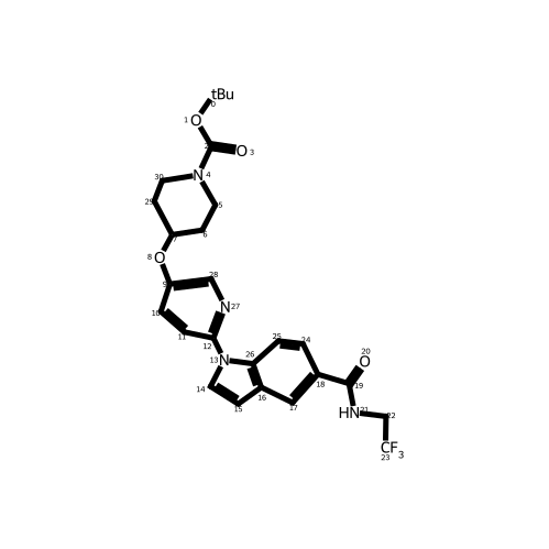 CC(C)(C)OC(=O)N1CCC(Oc2ccc(-n3ccc4cc(C(=O)NCC(F)(F)F)ccc43)nc2)CC1